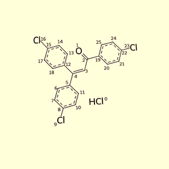 Cl.O=C(C=C(c1ccc(Cl)cc1)c1ccc(Cl)cc1)c1ccc(Cl)cc1